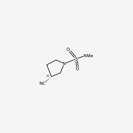 CNS(=O)(=O)N1CC[C@@H](C#N)C1